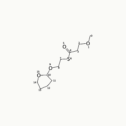 COCCC(=O)SCCOC1CCCCO1